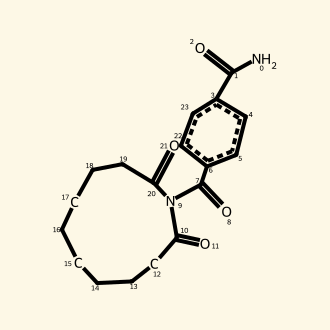 NC(=O)c1ccc(C(=O)N2C(=O)CCCCCCCCC2=O)cc1